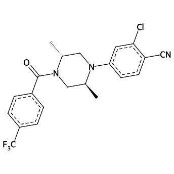 C[C@@H]1CN(c2ccc(C#N)c(Cl)c2)[C@@H](C)CN1C(=O)c1ccc(C(F)(F)F)cc1